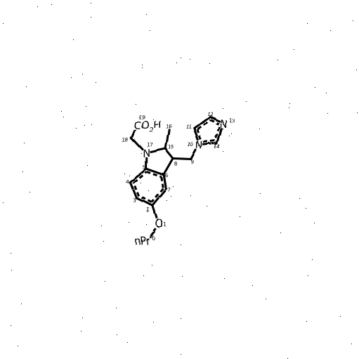 CCCOc1ccc2c(c1)C(Cn1ccnc1)C(C)N2CC(=O)O